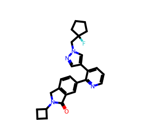 O=C1c2cc(-c3ncccc3-c3cnn(CC4(F)CCCC4)c3)ccc2CN1C1CCC1